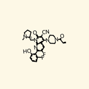 C=CC(=O)N1CCN(c2c(C#N)c(=O)n(C[C@@H]3CCCN3C)c3nc(-c4c(O)cccc4F)c(F)cc23)CC1